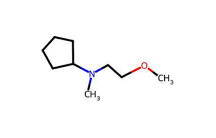 COCCN(C)C1CCCC1